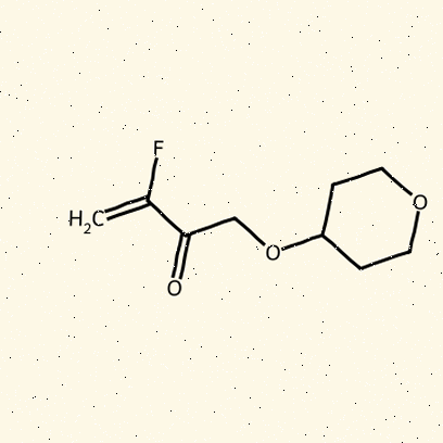 C=C(F)C(=O)COC1CCOCC1